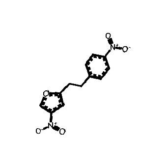 O=[N+]([O-])c1ccc(CCc2cc([N+](=O)[O-])co2)cc1